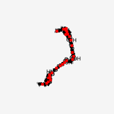 CC(C)CCCC(C)C1CCC2[C@@H]3CC=C4C[C@H](OC(=O)NCCOCCOCCOCCOP(=O)(O)OCC(C)COP(=O)(O)OCCOCCOCCOCCNC(=O)O[C@@H]5CC[C@]6(C)C(=CC[C@H]7C8CCC(C(C)CCCC(C)C)[C@]8(C)CCC76)C5)CC[C@@]4(C)C3CC[C@@]12C